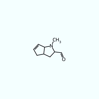 CN1C(C=O)CC2CC=CC21